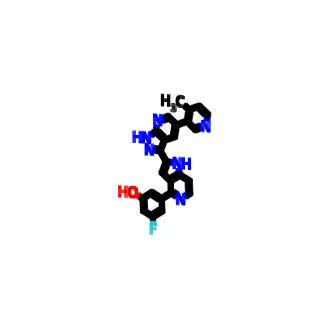 Cc1ccncc1-c1cnc2[nH]nc(-c3cc4c(-c5cc(O)cc(F)c5)nccc4[nH]3)c2c1